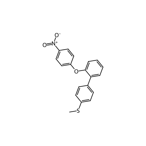 CSc1ccc(-c2ccccc2Oc2ccc([N+](=O)[O-])cc2)cc1